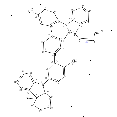 C=C/C=C\c1c(C)n(C2=C(c3ccc([C@@H]4CC(N5c6ccccc6C6(C)CCC=CC56)=CC=C4C#N)cc3)C=C(C#N)CC2)c2ccccc12